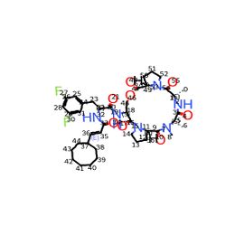 C[C@@H]1NC(=O)[C@H](C)N(C)C(=O)[C@@H]2CCCN2C(=O)[C@@H](NC(=O)[C@H](Cc2cc(F)cc(F)c2)NC(=O)/C=C/C2CCCCCCC2)COC(=O)[C@@H]2CCCN2C1=O